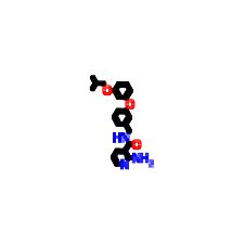 CC(C)COc1cccc(Oc2cccc(CNC(=O)c3cccnc3N)c2)c1